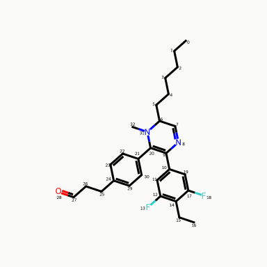 CCCCCCC1C=NC(c2cc(F)c(CC)c(F)c2)=C(c2ccc(CCC=O)cc2)N1C